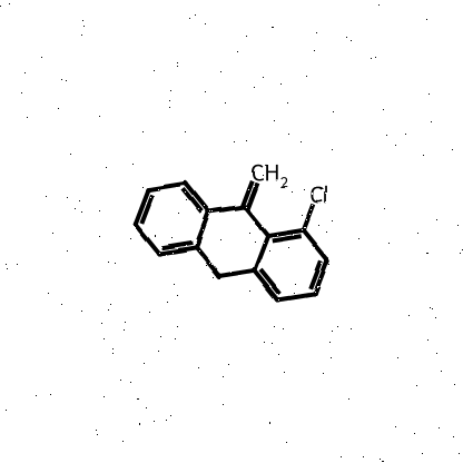 C=C1c2ccccc2Cc2cccc(Cl)c21